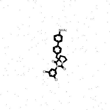 CC(=O)Nc1ccc(-c2ccc(CC34CCCN3C(=O)N(c3cc(Cl)cc(Cl)c3)C4=O)cc2)cc1